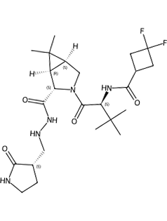 CC(C)(C)[C@H](NC(=O)C1CC(F)(F)C1)C(=O)N1C[C@H]2[C@@H]([C@H]1C(=O)NNC[C@@H]1CCNC1=O)C2(C)C